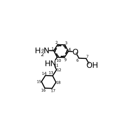 Nc1ccc(OCCO)cc1NCC1CCCCC1